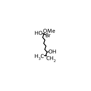 C=C(C)C(O)CCCCCC(O)(Br)OC